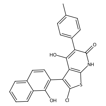 Cc1ccc(-c2c(O)c3c(-c4ccc5ccccc5c4O)c(Cl)sc3[nH]c2=O)cc1